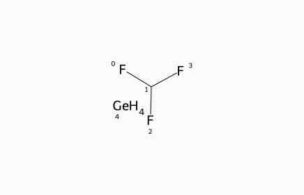 FC(F)F.[GeH4]